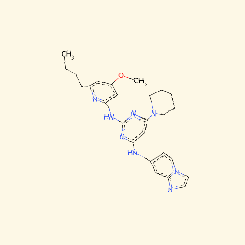 CCCCc1cc(OC)cc(Nc2nc(Nc3ccn4ccnc4c3)cc(N3CCCCC3)n2)n1